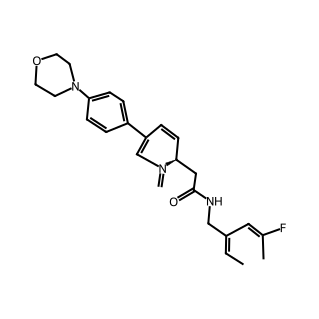 C=N/C=C(\C=C/[C@H](C)CC(=O)NCC(/C=C(\C)F)=C/C)c1ccc(N2CCOCC2)cc1